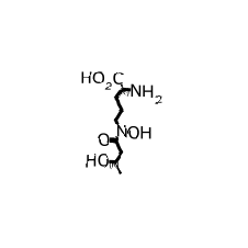 C[C@@H](O)CC(=O)N(O)CCC[C@@H](N)C(=O)O